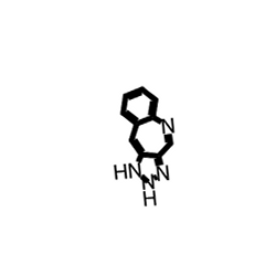 C1=Nc2ccccc2C=C2NNN=C12